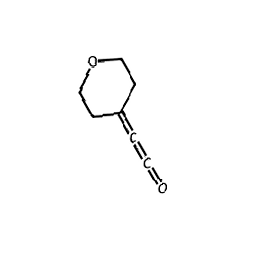 O=C=C=C1CCOCC1